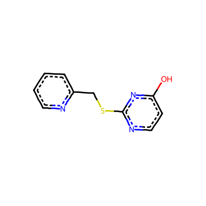 Oc1ccnc(SCc2ccccn2)n1